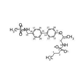 CCCS(=O)(=O)NCC(C)Oc1ccc(-c2ccc(CNS(C)(=O)=O)cc2)cc1